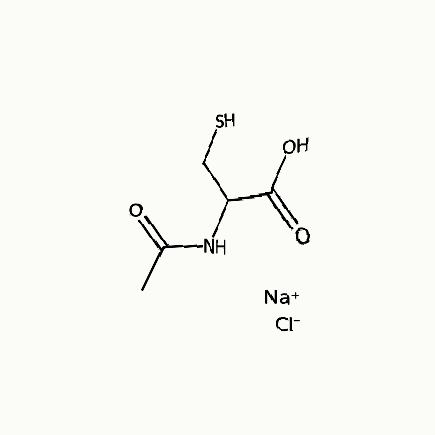 CC(=O)NC(CS)C(=O)O.[Cl-].[Na+]